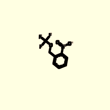 O=[N+]([O-])c1ccccc1COC(F)(F)F